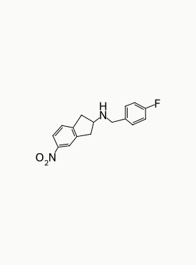 O=[N+]([O-])c1ccc2c(c1)CC(NCc1ccc(F)cc1)C2